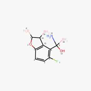 BC1Oc2ccc(F)c(C(B)(N)O)c2C1B